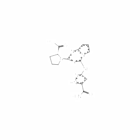 NC(=O)c1cc(Nc2nc(N3CCC[C@H]3C(=O)O)nc3cccn23)n[nH]1